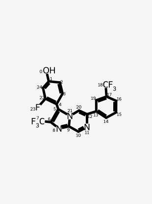 Oc1ccc(-c2c(C(F)(F)F)nc3cnc(-c4cccc(C(F)(F)F)c4)cn23)c(F)c1